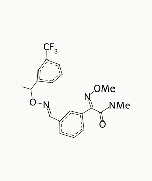 CNC(=O)C(=NOC)c1cccc(C=NOC(C)c2cccc(C(F)(F)F)c2)c1